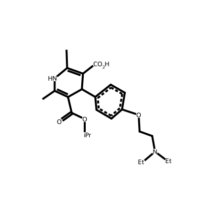 CCN(CC)CCOc1ccc(C2C(C(=O)O)=C(C)NC(C)=C2C(=O)OC(C)C)cc1